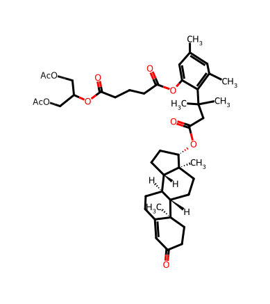 CC(=O)OCC(COC(C)=O)OC(=O)CCCC(=O)Oc1cc(C)cc(C)c1C(C)(C)CC(=O)O[C@H]1CC[C@H]2[C@@H]3CCC4=CC(=O)CC[C@]4(C)[C@H]3CC[C@]12C